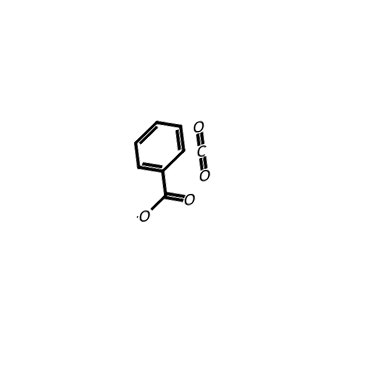 O=C=O.[O]C(=O)c1ccccc1